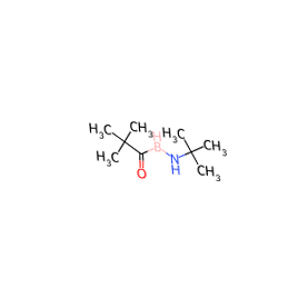 CC(C)(C)NBC(=O)C(C)(C)C